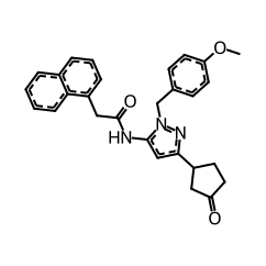 COc1ccc(Cn2nc(C3CCC(=O)C3)cc2NC(=O)Cc2cccc3ccccc23)cc1